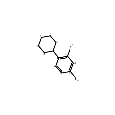 Fc1ccc(C2CCCCC2)c(F)c1